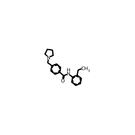 CCc1ccccc1NC(=O)c1ccc(CN2CCCC2)cc1